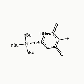 CCCC[N+](CCCC)(CCCC)CCCC.O=c1cc[nH]c(=O)n1F